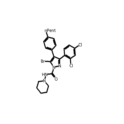 CCCCCc1ccc(-c2c(-c3ccc(Cl)cc3Cl)nn(C(=O)NN3CCCCC3)c2Br)cc1